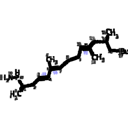 C=C(C/C=C/C(C)=C/CC/C=C(\C)CC(C)CC(C)CC)PN